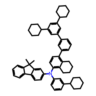 CC1(C)c2ccccc2-c2ccc(N(c3cccc(C4CCCCC4)c3)c3ccc(-c4cccc(-c5cc(C6CCCCC6)cc(C6CCCCC6)c5)c4)c4c3CCCC4)cc21